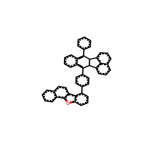 c1ccc(C2=c3ccccc3=C(c3ccc(-c4cccc5oc6c7ccccc7ccc6c45)cc3)C3c4cccc5cccc(c45)C23)cc1